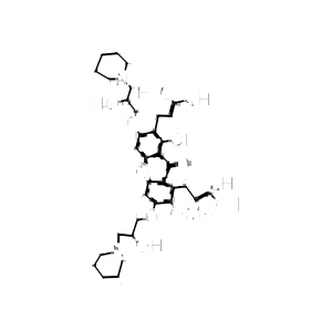 COc1c(OCC(O)CN2CCCCC2)cc2oc3cc(OCC(O)CN4CCCCC4)c(CC=C(C)C)c(O)c3c(=O)c2c1CC=C(C)C